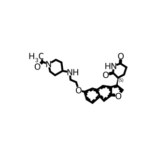 CC(=O)N1CCC(NCCOc2ccc3cc4occ([C@@H]5CCC(=O)NC5=O)c4cc3c2)CC1